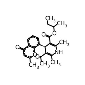 CCC(C)OC(=O)C1=C(C)NC(C)=C(C(C)=O)[C@H]1c1cccc2c(=O)cc(C)oc12